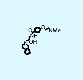 CNCCOc1ccc(C(=O)NCC(O)CN2CCc3ccccc3C2)cc1